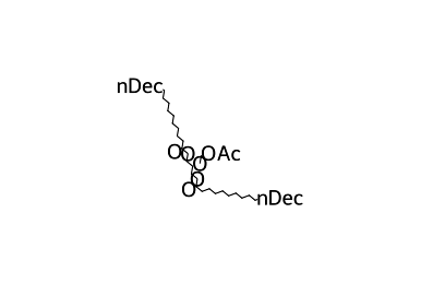 CCCCCCCCCCCCCCCCCCCC(=O)OCC(COC(=O)CCCCCCCCCCCCCCCCCCC)OCOC(C)=O